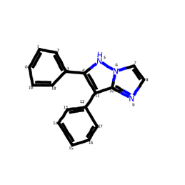 c1ccc(-c2[nH]n3ccnc3c2-c2ccccc2)cc1